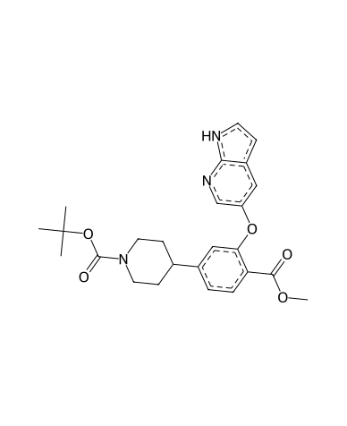 COC(=O)c1ccc(C2CCN(C(=O)OC(C)(C)C)CC2)cc1Oc1cnc2[nH]ccc2c1